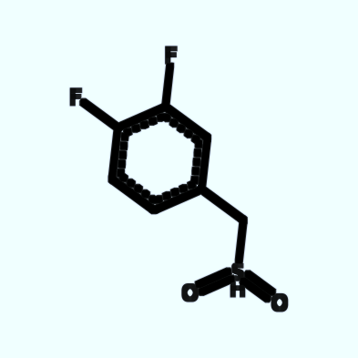 O=[SH](=O)Cc1ccc(F)c(F)c1